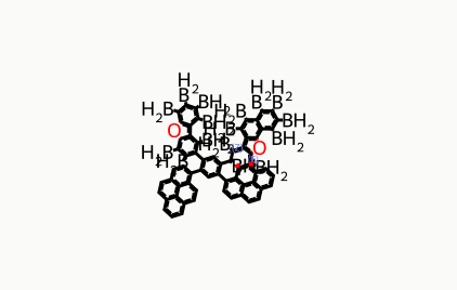 B=C(/C(B)=c1\c(=C(\B)C)oc2c1c(B)c(B)c1c(B)c(B)c(B)c(B)c12)c1cc(-c2c(B)c(B)c3oc4c(B)c(B)c(B)c(B)c4c3c2B)c(-c2ccc3ccc4cccc5ccc2c3c45)cc1-c1ccc2ccc3cccc4ccc1c2c34